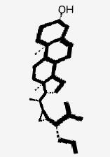 CCC[C@@H](C(C)C)[C@@H]1C[C@H]1[C@@H](C)[C@H]1CCC2C3CC=C4C[C@@H](O)CC[C@]4(C)C3CC[C@@]21C